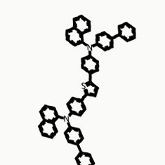 c1ccc(-c2ccc(N(c3ccc(-c4ccc(-c5ccc(N(c6ccc(-c7ccccc7)cc6)c6cccc7ccccc67)cc5)s4)cc3)c3cccc4ccccc34)cc2)cc1